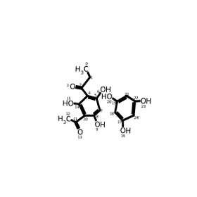 CCC(=O)c1c(O)cc(O)c(C(C)=O)c1O.Oc1cc(O)cc(O)c1